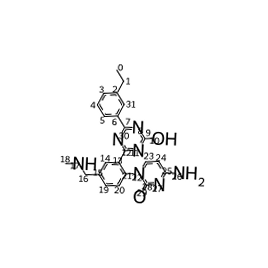 CCc1cccc(-c2nc(O)nc(-c3cc(CNC)ccc3-n3ccc(N)nc3=O)n2)c1